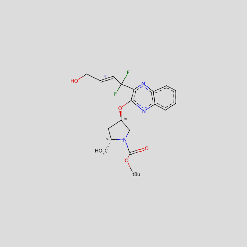 CC(C)(C)OC(=O)N1C[C@H](Oc2nc3ccccc3nc2C(F)(F)/C=C/CO)C[C@H]1C(=O)O